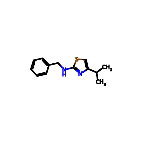 CC(C)c1csc(NCc2ccccc2)n1